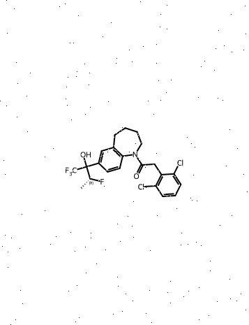 C[C@@H](F)C(O)(c1ccc2c(c1)CCCCN2C(=O)Cc1c(Cl)cccc1Cl)C(F)(F)F